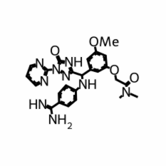 COc1cc(OCC(=O)N(C)C)cc(C(Nc2ccc(C(=N)N)cc2)c2nn(-c3ncccn3)c(=O)[nH]2)c1